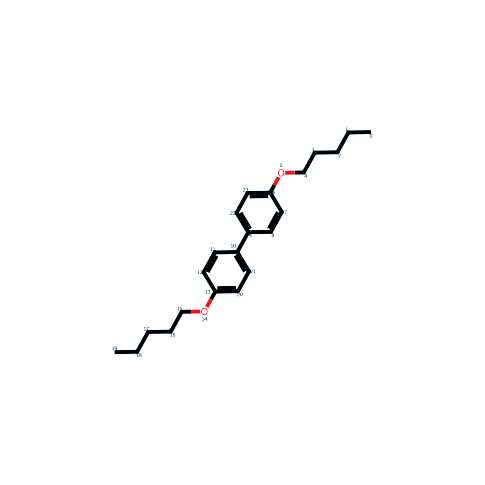 CCCCCOc1ccc(-c2ccc(OCCCCC)cc2)cc1